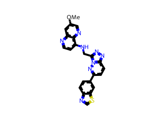 COc1cnc2c(NCc3nnc4ccc(-c5ccc6ncsc6c5)nn34)ccnc2c1